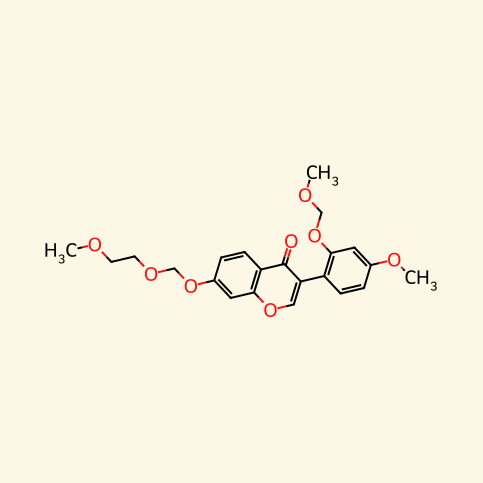 COCCOCOc1ccc2c(=O)c(-c3ccc(OC)cc3OCOC)coc2c1